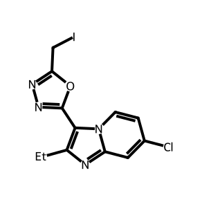 CCc1nc2cc(Cl)ccn2c1-c1nnc(CI)o1